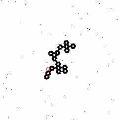 c1ccc(-c2c3ccccc3c(-c3cccc(-c4ccc5c(c4)c4ccccc4c4ccc(-c6ccc7c(-c8cccc9ccccc89)c8ccccc8c(-c8ccc9oc%10cc%11ccccc%11cc%10c9c8)c7c6)cc45)c3)c3ccccc23)cc1